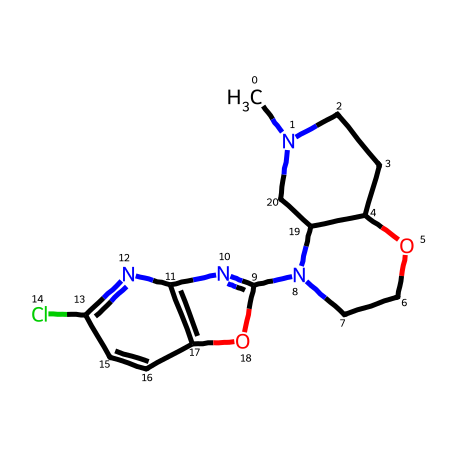 CN1CCC2OCCN(c3nc4nc(Cl)ccc4o3)C2C1